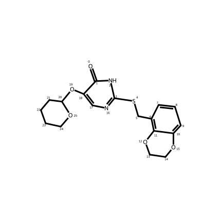 O=c1[nH]c(SCc2cccc3c2OCCO3)ncc1OC1CCCCO1